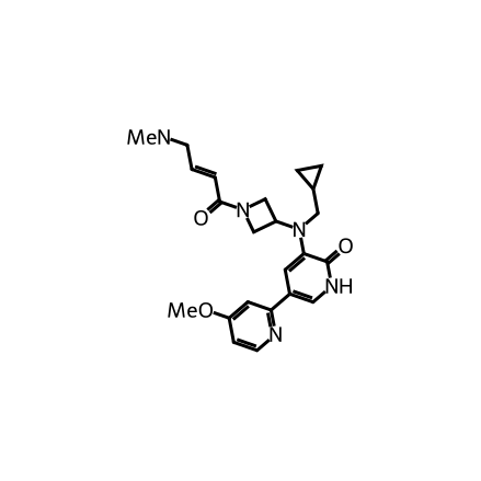 CNC/C=C/C(=O)N1CC(N(CC2CC2)c2cc(-c3cc(OC)ccn3)c[nH]c2=O)C1